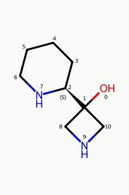 OC1([C@@H]2CCCCN2)CNC1